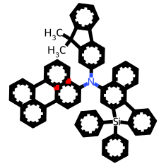 CC1(C)c2ccccc2-c2ccc(N(c3ccc(-c4cccc5cccc(-c6ccccc6)c45)cc3)c3cc4c(c5ccccc35)-c3ccccc3[Si]4(c3ccccc3)c3ccccc3)cc21